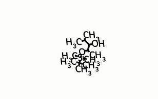 CC(C)C(O)C(C)O[Si](C)(C)C(C)(C)C